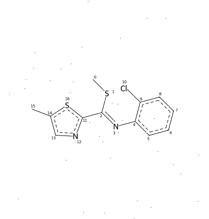 CSC(=Nc1ccccc1Cl)c1ncc(C)s1